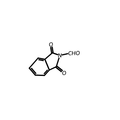 O=CN1C(=O)c2ccccc2C1=O